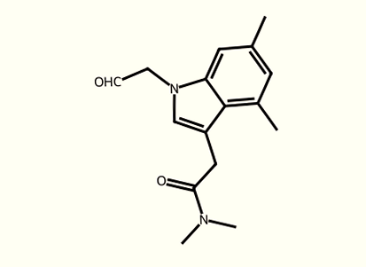 Cc1cc(C)c2c(CC(=O)N(C)C)cn(CC=O)c2c1